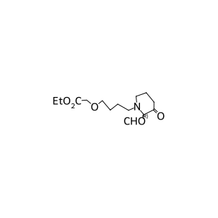 CCOC(=O)COCCCCN1CCCC(=O)[C@H]1C=O